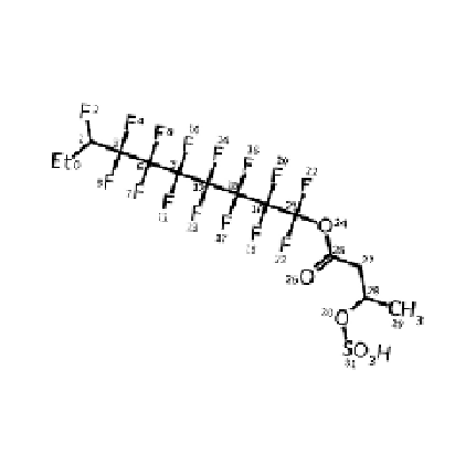 CCC(F)C(F)(F)C(F)(F)C(F)(F)C(F)(F)C(F)(F)C(F)(F)C(F)(F)OC(=O)CC(C)OS(=O)(=O)O